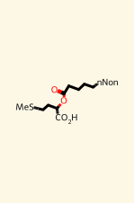 CCCCCCCCCCCCCC(=O)OC(CCSC)C(=O)O